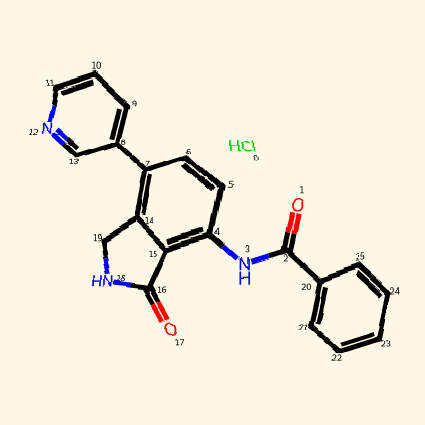 Cl.O=C(Nc1ccc(-c2cccnc2)c2c1C(=O)NC2)c1ccccc1